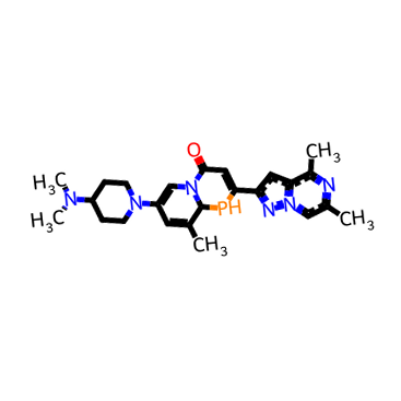 CC1=CC(N2CCC(N(C)C)CC2)=CN2C(=O)C=C(c3cc4c(C)nc(C)cn4n3)PC12